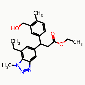 CCOC(=O)CC(c1ccc(C)c(CO)c1)c1cc(CC)c2c(c1)nnn2C